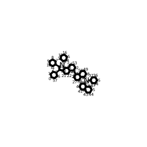 c1ccc(-c2c(-c3ccccc3)n(-c3ccccc3)c3c2ccc2c(-c4cccc5c(N(c6ccccc6)c6cccc7ccccc67)cccc45)cccc23)cc1